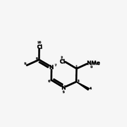 CNC(Cl)[C@@H](C)/N=C\N=C(/C)Cl